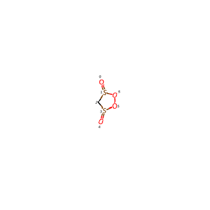 O=S1CS(=O)OO1